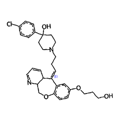 OCCCOc1ccc2c(c1)/C(=C/CCN1CCC(O)(c3ccc(Cl)cc3)CC1)C1C=CC=NC1CO2